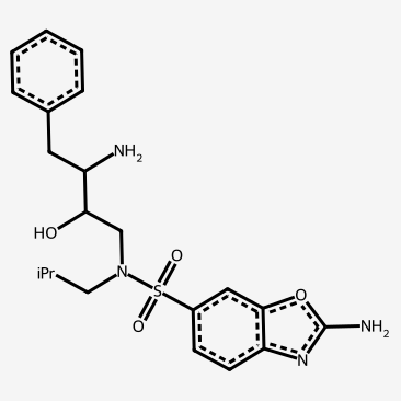 CC(C)CN(CC(O)C(N)Cc1ccccc1)S(=O)(=O)c1ccc2nc(N)oc2c1